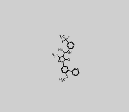 COc1ccc(N2N=C(C)C(C(O)Nc3cccc(C(C)(F)F)c3)C2=O)cc1-c1cccnc1